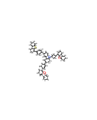 c1ccc2c(c1)oc1c(-c3ccc(-c4ccc5c(c4)c4cc(-c6ccc(-c7cccc8c7sc7ccccc78)cc6)ccc4n5-c4ccc(-c5cccc6c5oc5ccccc56)cc4)cc3)cccc12